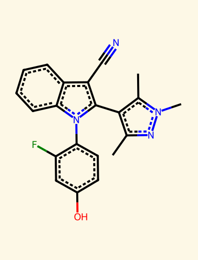 Cc1nn(C)c(C)c1-c1c(C#N)c2ccccc2n1-c1ccc(O)cc1F